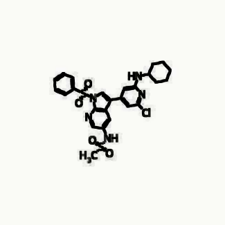 CS(=O)(=O)Nc1cnc2c(c1)c(-c1cc(Cl)nc(NC3CCCCC3)c1)cn2S(=O)(=O)c1ccccc1